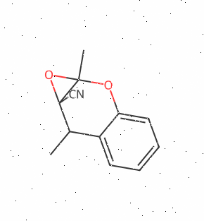 CC1c2ccccc2OC2(C)OC12C#N